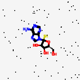 Nc1ncnc2c1ncn2[C@]1(S)O[C@H](CO)[C@@H](O)[C@H]1O